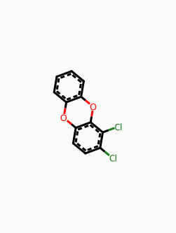 Clc1ccc2c(c1Cl)Oc1ccccc1O2